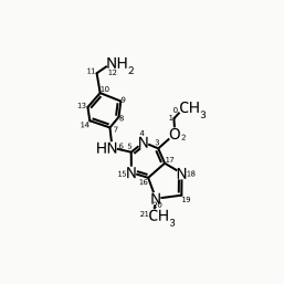 CCOc1nc(Nc2ccc(CN)cc2)nc2c1ncn2C